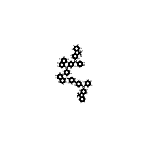 CC1(C)c2ccccc2-c2ccc(N(c3ccccc3)c3ccc(-c4ccc(N(c5ccc(N(c6ccc(N(c7ccccc7)c7ccc8c(c7)C(C)(C)c7ccccc7-8)cc6)c6cccc7ccccc67)cc5)c5cccc6ccccc56)cc4)cc3)cc21